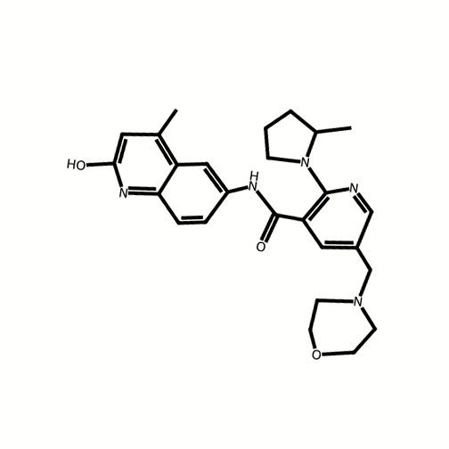 Cc1cc(O)nc2ccc(NC(=O)c3cc(CN4CCOCC4)cnc3N3CCCC3C)cc12